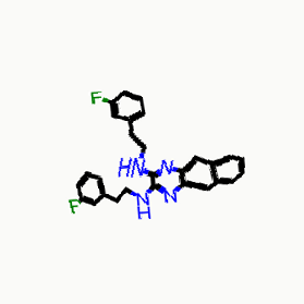 Fc1cccc(CCNc2nc3cc4ccccc4cc3nc2NCCc2cccc(F)c2)c1